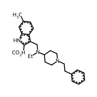 CCN(Cc1c(C(=O)O)[nH]c2cc(C)ccc12)C1CCN(CCc2ccccc2)CC1